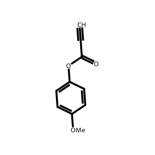 C#CC(=O)Oc1ccc(OC)cc1